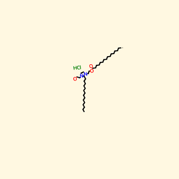 Cl.[CH2]CCCCCCCCCCCCCCC(=O)OCCN1CC[N+](CC[O-])=C1CCCCCCCCCCCCCCC